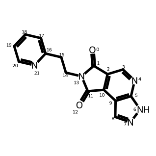 O=C1c2cnc3[nH]ncc3c2C(=O)N1CCc1ccccn1